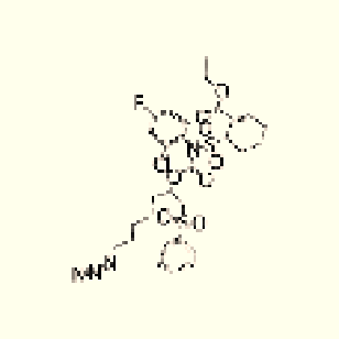 CCOC(=O)C1=CCCCC1S(=O)(=O)N(C(=O)OC(CCCCCN=[N+]=[N-])CS(=O)(=O)c1ccccc1)c1ccc(F)cc1Cl